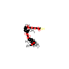 C=CC1CC(/C=C\C2CC(C=C)C(C(=O)OCCOCCOCCOC(=O)CS)C2)C(C(=O)OCC(=O)OC2CC[C@@]3(C)C(=CC[C@H]4[C@]5(C)CC[C@](C)([C@H](C)CCCC(C)C)[C@H]5CC[C@@]43C)C2)C1